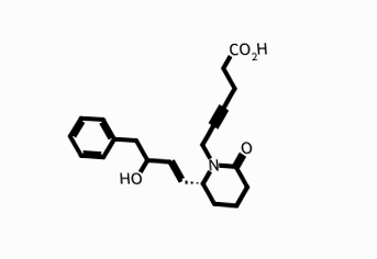 O=C(O)CCC#CCN1C(=O)CCC[C@@H]1/C=C/C(O)Cc1ccccc1